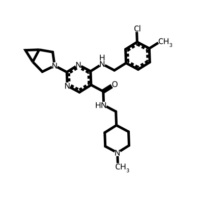 Cc1ccc(CNc2nc(N3CC4CC4C3)ncc2C(=O)NCC2CCN(C)CC2)cc1Cl